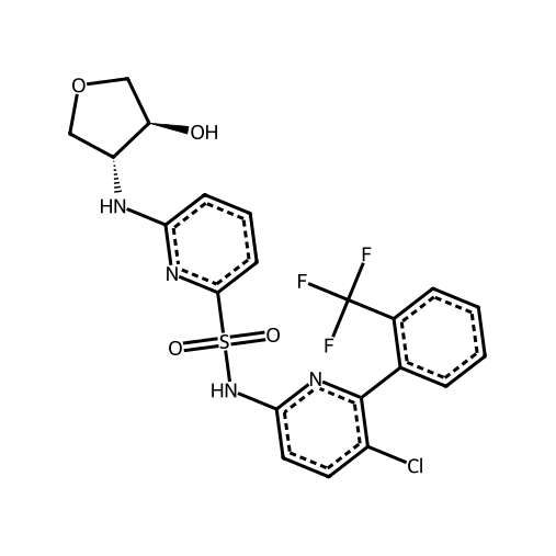 O=S(=O)(Nc1ccc(Cl)c(-c2ccccc2C(F)(F)F)n1)c1cccc(N[C@@H]2COC[C@H]2O)n1